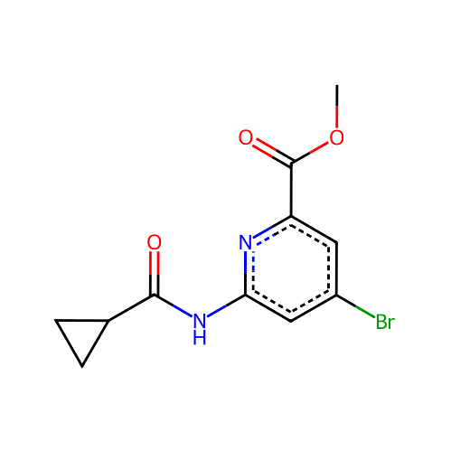 COC(=O)c1cc(Br)cc(NC(=O)C2CC2)n1